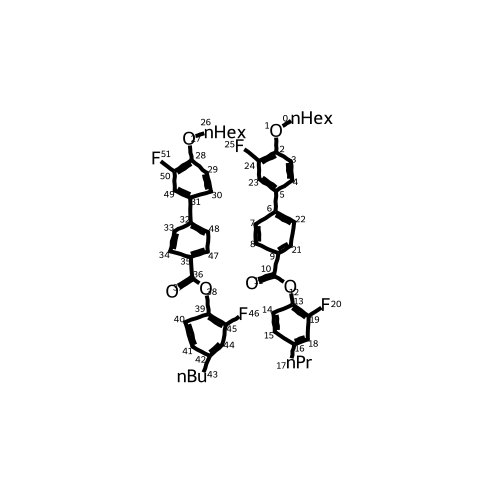 CCCCCCOc1ccc(-c2ccc(C(=O)Oc3ccc(CCC)cc3F)cc2)cc1F.CCCCCCOc1ccc(-c2ccc(C(=O)Oc3ccc(CCCC)cc3F)cc2)cc1F